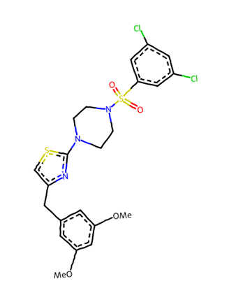 COc1cc(Cc2csc(N3CCN(S(=O)(=O)c4cc(Cl)cc(Cl)c4)CC3)n2)cc(OC)c1